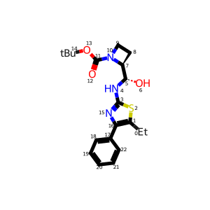 CCc1sc(N[C@@H](O)[C@@H]2CCN2C(=O)OC(C)(C)C)nc1-c1ccccc1